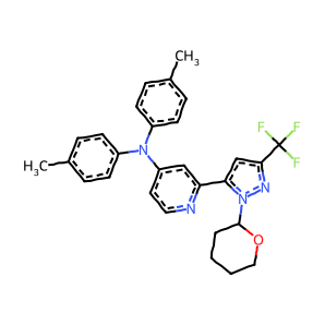 Cc1ccc(N(c2ccc(C)cc2)c2ccnc(-c3cc(C(F)(F)F)nn3C3CCCCO3)c2)cc1